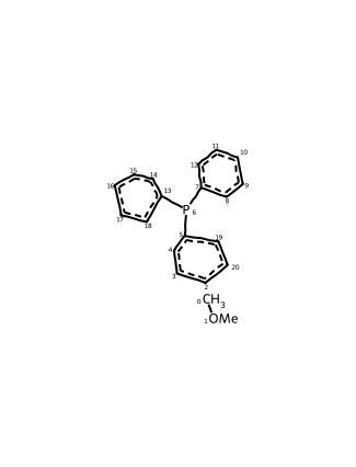 COC.c1ccc(P(c2ccccc2)c2ccccc2)cc1